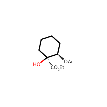 CCOC(=O)[C@]1(O)CCCC[C@H]1OC(C)=O